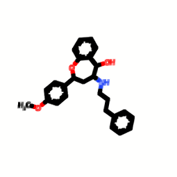 COc1ccc(C2CC(NCCCc3ccccc3)C(O)c3ccccc3O2)cc1